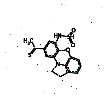 CC(=S)c1cc(N[SH](=O)=O)c(Oc2ccccc2)c(N2CCCC2)c1